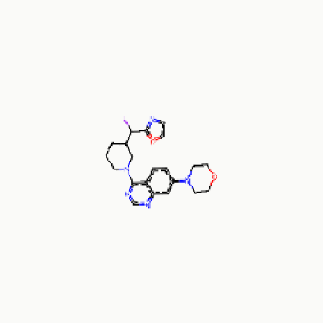 IC(c1ncco1)C1CCCN(c2ncnc3cc(N4CCOCC4)ccc23)C1